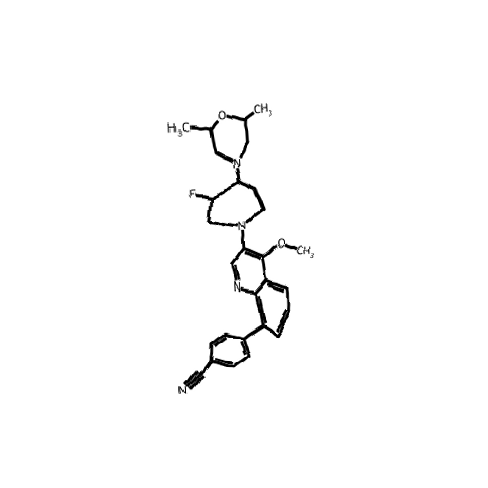 COc1c(N2CCC(N3CC(C)OC(C)C3)C(F)C2)cnc2c(-c3ccc(C#N)cc3)cccc12